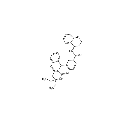 CCC1(CC)CC(=O)N(C(c2ccccc2)c2cccc(C(=O)N[C@@H]3CCOc4ccccc43)c2)C(=N)N1